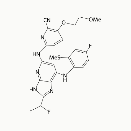 COCCOc1ccc(Nc2cc(Nc3ccc(F)cc3SC)c3nc(C(F)F)[nH]c3n2)nc1C#N